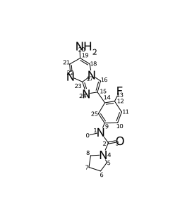 CN(C(=O)N1CCCC1)c1ccc(F)c(-c2cn3cc(N)cnc3n2)c1